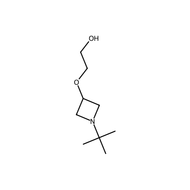 CC(C)(C)N1CC(OCCO)C1